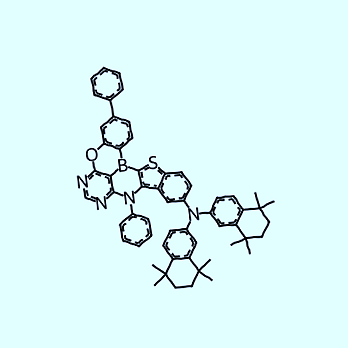 CC1(C)CCC(C)(C)c2cc(N(c3ccc4c(c3)C(C)(C)CCC4(C)C)c3ccc4sc5c(c4c3)N(c3ccccc3)c3ncnc4c3B5c3ccc(-c5ccccc5)cc3O4)ccc21